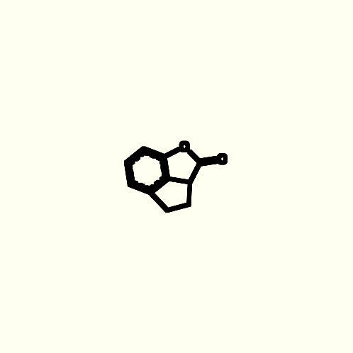 O=C1Oc2cccc3c2C1CC3